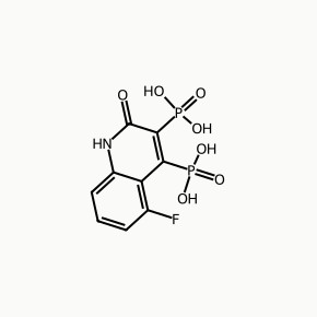 O=c1[nH]c2cccc(F)c2c(P(=O)(O)O)c1P(=O)(O)O